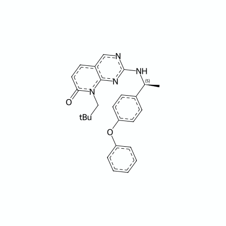 C[C@H](Nc1ncc2ccc(=O)n(CC(C)(C)C)c2n1)c1ccc(Oc2ccccc2)cc1